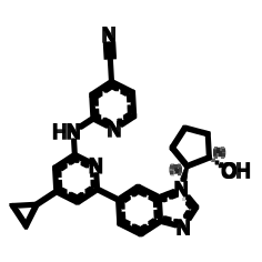 N#Cc1ccnc(Nc2cc(C3CC3)cc(-c3ccc4ncn([C@H]5CCC[C@@H]5O)c4c3)n2)c1